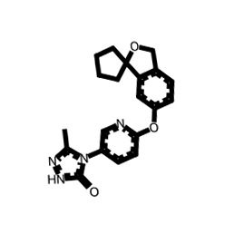 Cc1n[nH]c(=O)n1-c1ccc(Oc2ccc3c(c2)C2(CCCC2)OC3)nc1